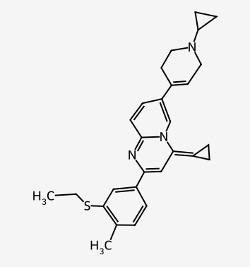 CCSc1cc(C2=CC(=C3CC3)N3C=C(C4=CCN(C5CC5)CC4)C=CC3=N2)ccc1C